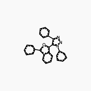 c1ccc(-c2nnn(-c3ccccc3)c2-c2oc(-c3ccccc3)c3ccccc23)cc1